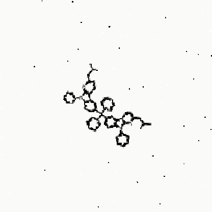 CC(C)Cc1ccc2c3cc(C(c4ccccc4)(c4ccccc4)c4ccc5c(c4)c4ccc(CC(C)C)nc4n5-c4ccccc4)ccc3n(-c3ccccc3)c2n1